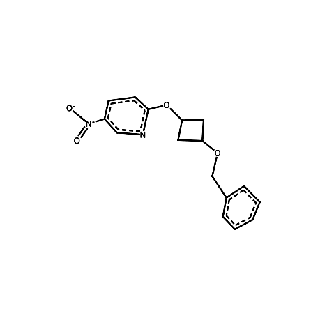 O=[N+]([O-])c1ccc(OC2CC(OCc3ccccc3)C2)nc1